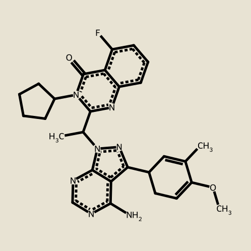 COC1=CCC(c2nn(C(C)c3nc4cccc(F)c4c(=O)n3C3CCCC3)c3ncnc(N)c23)C=C1C